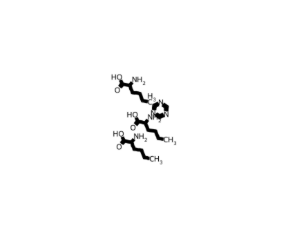 CCCCC(N)C(=O)O.CCCCC(N)C(=O)O.CCCCC(N)C(=O)O.c1ncncn1